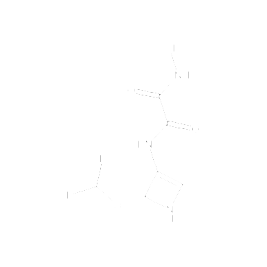 CNC(=O)C(=O)NC1=CN[C@@H]1OC(F)F